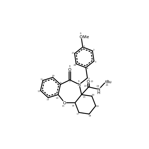 COc1ccc(CN2C(=O)c3ccccc3OC3CCCCC32C(=O)NC(C)(C)C)cc1